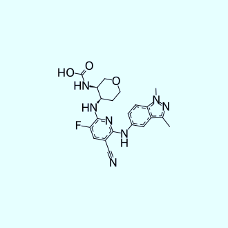 Cc1nn(C)c2ccc(Nc3nc(N[C@@H]4CCOC[C@@H]4NC(=O)O)c(F)cc3C#N)cc12